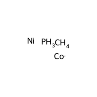 C.P.[Co].[Ni]